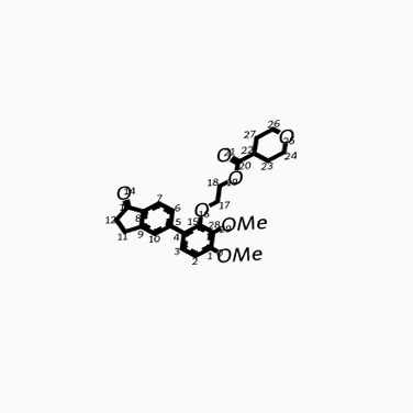 COc1ccc(-c2ccc3c(c2)CCC3=O)c(OCCOC(=O)C2CCOCC2)c1OC